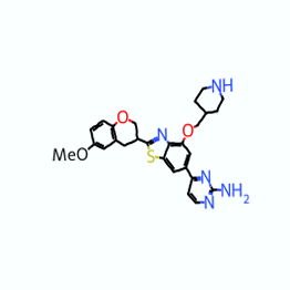 COc1ccc2c(c1)CC(c1nc3c(OCC4CCNCC4)cc(-c4ccnc(N)n4)cc3s1)CO2